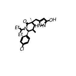 CCC(CC)N1C(=O)[C@@](C)(Cc2cc(O)n[nH]2)CC(C)[C@H]1c1ccc(Cl)cc1